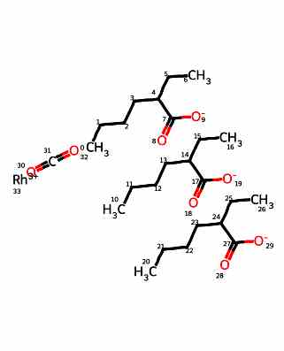 CCCCC(CC)C(=O)[O-].CCCCC(CC)C(=O)[O-].CCCCC(CC)C(=O)[O-].O=C=O.[Rh+3]